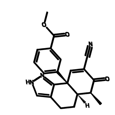 COC(=O)c1cccc([C@@]23C=C(C#N)C(=O)[C@@H](C)[C@H]2CCc2c[nH]nc23)c1